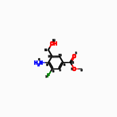 COC(=O)c1cc(F)c(N)c(CO)c1